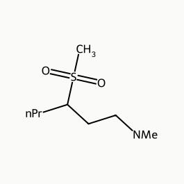 CCCC(CCNC)S(C)(=O)=O